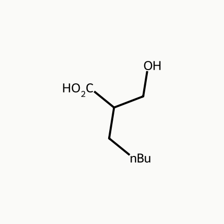 CCCCCC(CO)C(=O)O